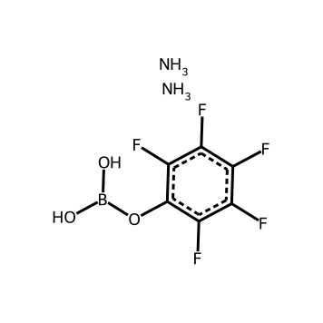 N.N.OB(O)Oc1c(F)c(F)c(F)c(F)c1F